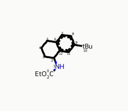 CCOC(=O)NC1CCCc2ccc(C(C)(C)C)cc21